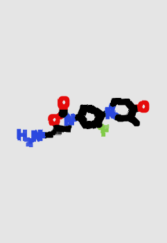 CC1CN(c2ccc(N3C[C@H](CN)OC3=O)cc2F)CCC1=O